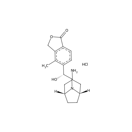 Cc1c([C@@H](O)CN2[C@@H]3CC[C@H]2CC(N)C3)ccc2c1COC2=O.Cl